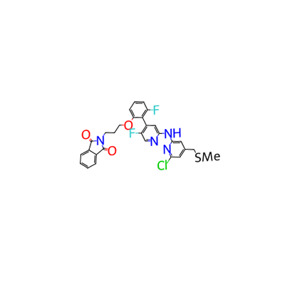 CSCc1cc(Cl)nc(Nc2cc(-c3c(F)cccc3OCCCN3C(=O)c4ccccc4C3=O)c(F)cn2)c1